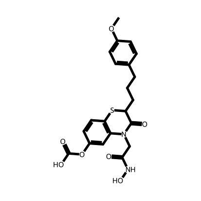 COc1ccc(CCCC2Sc3ccc(OC(=O)O)cc3N(CC(=O)NO)C2=O)cc1